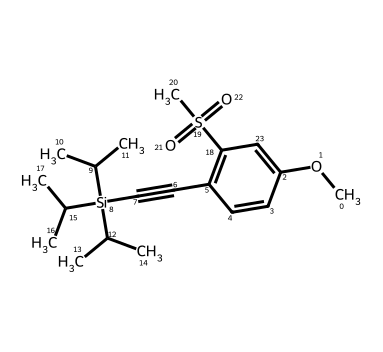 COc1ccc(C#C[Si](C(C)C)(C(C)C)C(C)C)c(S(C)(=O)=O)c1